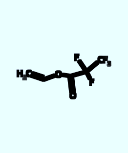 C=COC(=O)C(F)(F)C(F)(F)F